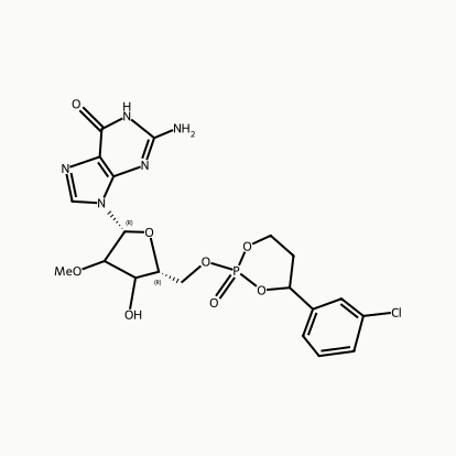 COC1C(O)[C@@H](COP2(=O)OCCC(c3cccc(Cl)c3)O2)O[C@H]1n1cnc2c(=O)[nH]c(N)nc21